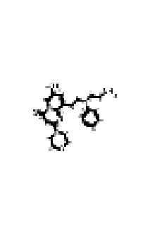 Cc1cc(CCN(CCN)c2ccccc2)c2nc(N3CCOCC3)cc(=O)n2c1